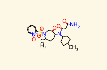 CC1CCC(N(C(=O)CC(N)=O)[C@H]2CC[C@@H](C)N(S(=O)(=O)c3cccc[n+]3[O-])CC2=O)CC1